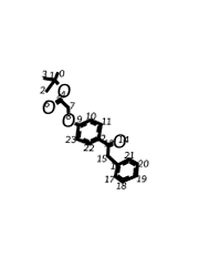 CC(C)(C)OC(=O)COc1ccc(C(=O)Cc2ccccc2)cc1